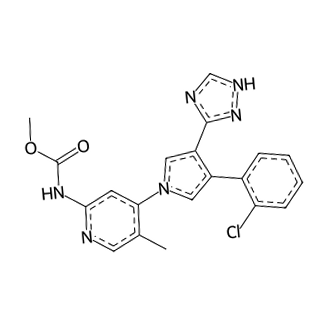 COC(=O)Nc1cc(-n2cc(-c3nc[nH]n3)c(-c3ccccc3Cl)c2)c(C)cn1